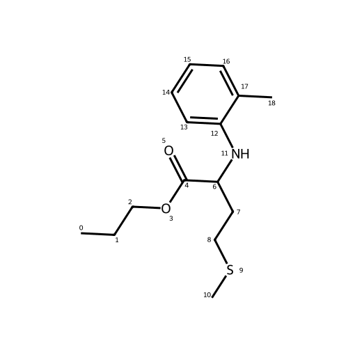 CCCOC(=O)C(CCSC)Nc1ccccc1C